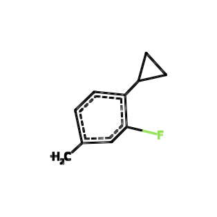 [CH2]c1ccc(C2CC2)c(F)c1